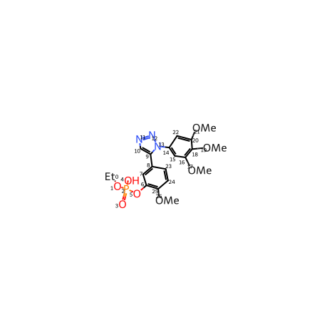 CCOP(=O)(O)Oc1cc(-c2cnnn2-c2cc(OC)c(OC)c(OC)c2)ccc1OC